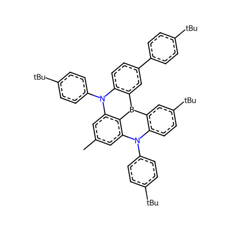 Cc1cc2c3c(c1)N(c1ccc(C(C)(C)C)cc1)c1ccc(C(C)(C)C)cc1B3c1cc(-c3ccc(C(C)(C)C)cc3)ccc1N2c1ccc(C(C)(C)C)cc1